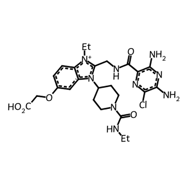 CCNC(=O)N1CCC(n2c(CNC(=O)c3nc(Cl)c(N)nc3N)[n+](CC)c3ccc(OCC(=O)O)cc32)CC1